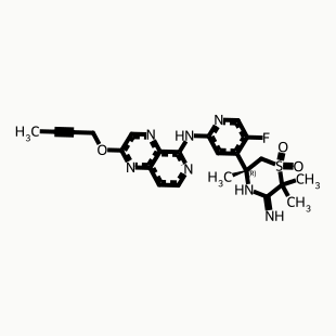 CC#CCOc1cnc2c(Nc3cc([C@]4(C)CS(=O)(=O)C(C)(C)C(=N)N4)c(F)cn3)nccc2n1